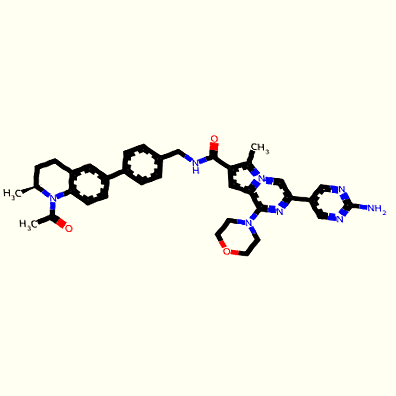 CC(=O)N1c2ccc(-c3ccc(CNC(=O)c4cc5c(N6CCOCC6)nc(-c6cnc(N)nc6)cn5c4C)cc3)cc2CC[C@@H]1C